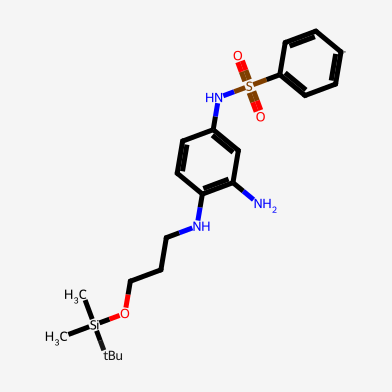 CC(C)(C)[Si](C)(C)OCCCNc1ccc(NS(=O)(=O)c2cc[c]cc2)cc1N